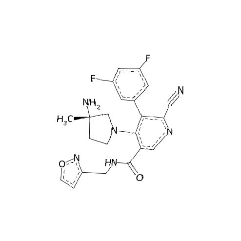 C[C@]1(N)CCN(c2c(C(=O)NCc3ccon3)cnc(C#N)c2-c2cc(F)cc(F)c2)C1